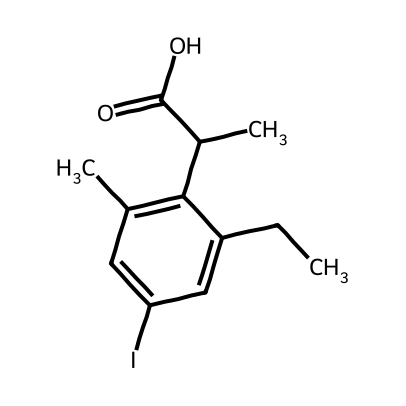 CCc1cc(I)cc(C)c1C(C)C(=O)O